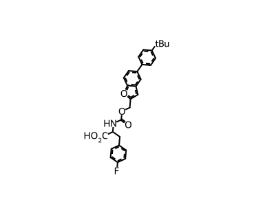 CC(C)(C)c1ccc(-c2ccc3oc(COC(=O)NC(Cc4ccc(F)cc4)C(=O)O)cc3c2)cc1